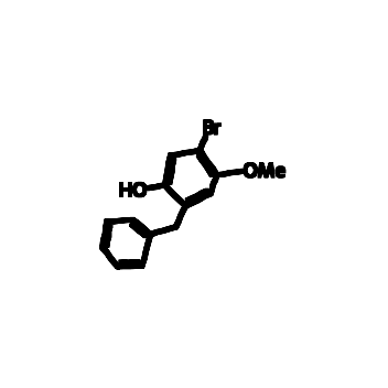 COc1cc(Cc2ccccc2)c(O)cc1Br